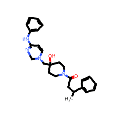 CC(CC(=O)N1CCC(O)(CN2C=CC(Nc3ccccc3)=NC2)CC1)c1ccccc1